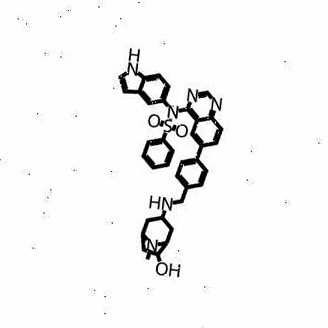 CN1C2CC(NCc3ccc(-c4ccc5ncnc(N(c6ccc7[nH]ccc7c6)S(=O)(=O)c6ccccc6)c5c4)cc3)CC1C(O)C2